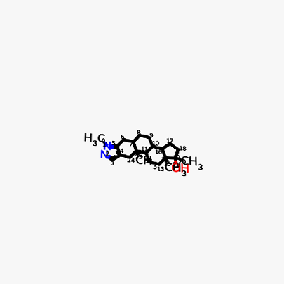 Cn1ncc2c1CC1CCC3C(CCC4(C)C3CC[C@]4(C)O)C1(C)C2